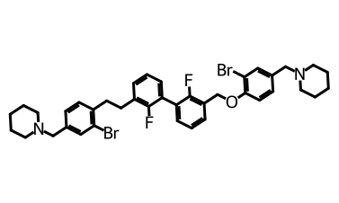 Fc1c(CCc2ccc(CN3CCCCC3)cc2Br)cccc1-c1cccc(COc2ccc(CN3CCCCC3)cc2Br)c1F